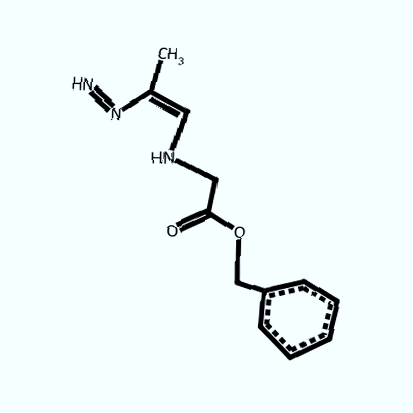 C/C(=C/NCC(=O)OCc1ccccc1)N=N